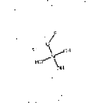 O[Si](O)(O)OF.[Si]